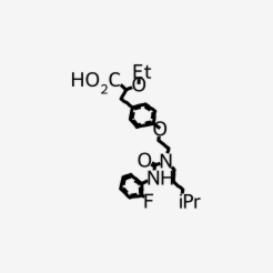 CCOC(Cc1ccc(OCCN(CCCC(C)C)C(=O)Nc2ccccc2F)cc1)C(=O)O